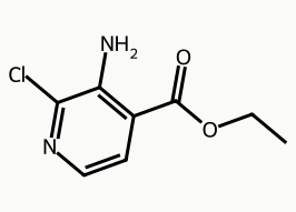 CCOC(=O)c1ccnc(Cl)c1N